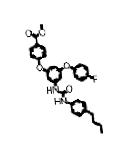 CCCCc1ccc(NC(=O)Nc2cc(Oc3ccc(F)cc3)cc(Oc3ccc(C(=O)OC)cc3)c2)cc1